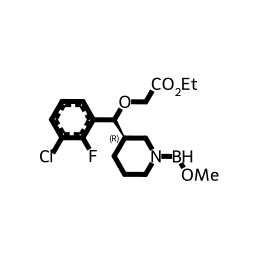 CCOC(=O)COC(c1cccc(Cl)c1F)[C@@H]1CCCN(BOC)C1